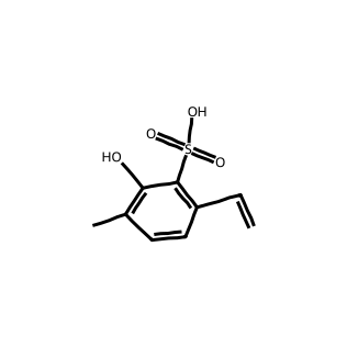 C=Cc1ccc(C)c(O)c1S(=O)(=O)O